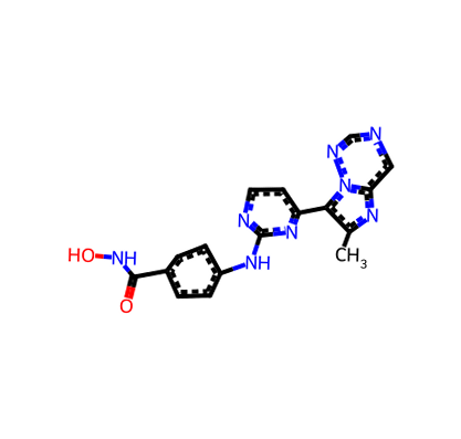 Cc1nc2cncnn2c1-c1ccnc(Nc2ccc(C(=O)NO)cc2)n1